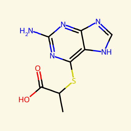 CC(Sc1nc(N)nc2nc[nH]c12)C(=O)O